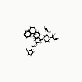 C=CC(=O)N1CCN(c2nc(OC[C@@H]3CCCN3C)nc3c2CCC2(C3)OCCc3ccccc32)C[C@@H]1CC#N